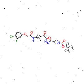 CC(C)(C)OC(=O)N1CC(c2nnc(C(=O)C34CC(NC(=O)COc5ccc(Cl)c(F)c5)(C3)C4)o2)C1